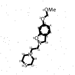 COCOc1ccc2c(c1)ON(CCN1CCSCC1)C2